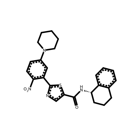 O=C(N[C@H]1CCCc2ccccc21)c1cnc(-c2cc(N3CCCCC3)ccc2[N+](=O)[O-])s1